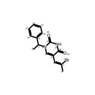 C/C(Br)=C/c1cn(C(C)c2ccccc2)c(=O)[nH]c1=O